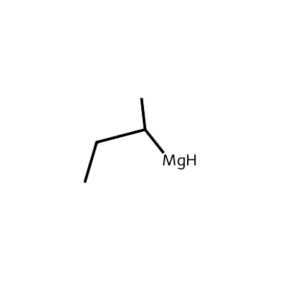 CC[CH](C)[MgH]